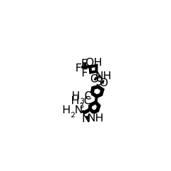 Cc1cc(S(=O)(=O)N[C@H]2C[C@](O)(C(F)(F)F)C2)ccc1-c1ccc2[nH]nc(N)c2c1C